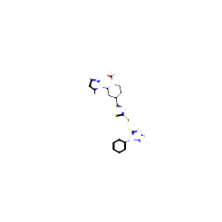 CCC(=O)N1CCC(c2nc(C[S+]([O-])c3nnnn3-c3ccccc3)cs2)CC1n1nc(C(F)(F)F)cc1C